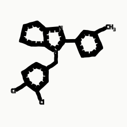 Cc1cccc(-c2nc3ccccc3n2Cc2ccc(Cl)c(Cl)c2)c1